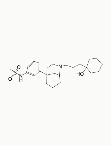 CS(=O)(=O)Nc1cccc(C23CCCC(C2)N(CCCC2(O)CCCCC2)CC3)c1